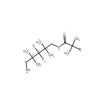 CC(C)(Br)C(=O)OCC(C)(C)C(F)(F)C(C)(C)CO